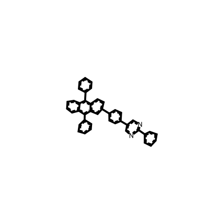 c1ccc(-c2ncc(-c3ccc(-c4ccc5c(-c6ccccc6)c6ccccc6c(-c6ccccc6)c5c4)cc3)cn2)cc1